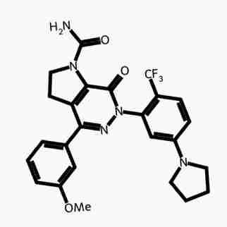 COc1cccc(-c2nn(-c3cc(N4CCCC4)ccc3C(F)(F)F)c(=O)c3c2CCN3C(N)=O)c1